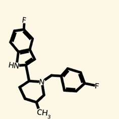 CC1CCC(c2cc3cc(F)ccc3[nH]2)N(Cc2ccc(F)cc2)C1